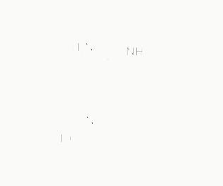 N=C(N)c1cn(O)c2ccccc12